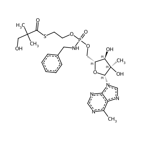 Cc1ncnc2c1ncn2[C@@H]1O[C@H](COP(=O)(NCc2ccccc2)OCCSC(=O)C(C)(C)CO)[C@@H](O)[C@@]1(C)O